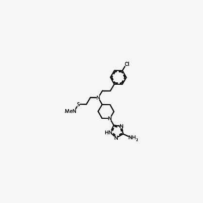 CNSCCN(CCc1ccc(Cl)cc1)C1CCN(c2nc(N)n[nH]2)CC1